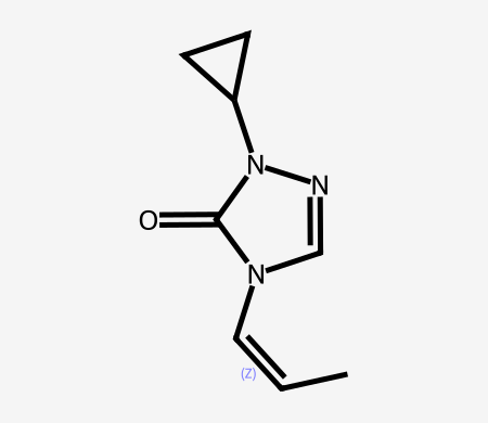 C/C=C\n1cnn(C2CC2)c1=O